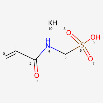 C=CC(=O)NCS(=O)(=O)O.[KH]